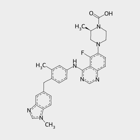 Cc1cc(Nc2ncnc3ccc(N4CCN(C(=O)O)[C@H](C)C4)c(F)c23)ccc1Cc1ccc2c(c1)ncn2C